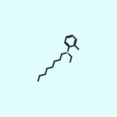 CCCCCCCCN(CC)c1ccccc1C